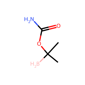 BC(C)(C)OC(N)=O